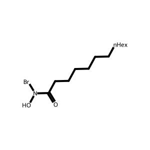 CCCCCCCCCCCCC(=O)N(O)Br